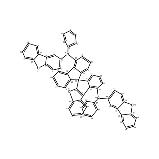 c1ccc(N(c2ccc3oc4ccccc4c3c2)c2cccc3c2-c2ccccc2C32c3cccc(N(c4ccccc4)c4ccc5oc6ccccc6c5c4)c3-c3c2oc2ccccc32)cc1